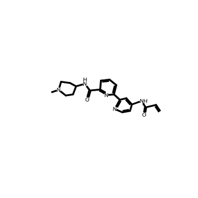 C=CC(=O)Nc1ccnc(-c2cccc(C(=O)NC3CCN(C)CC3)n2)c1